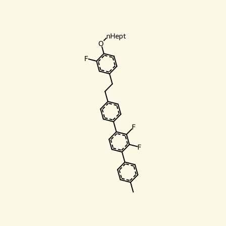 CCCCCCCOc1ccc(CCc2ccc(-c3ccc(-c4ccc(C)cc4)c(F)c3F)cc2)cc1F